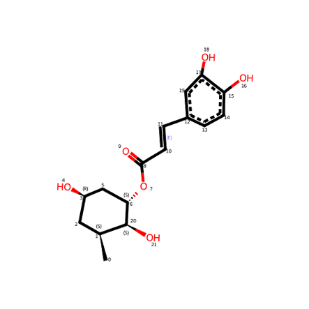 C[C@H]1C[C@@H](O)C[C@H](OC(=O)/C=C/c2ccc(O)c(O)c2)[C@H]1O